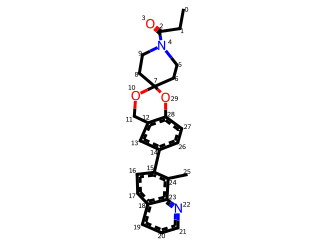 CCC(=O)N1CCC2(CC1)OCc1cc(-c3ccc4cccnc4c3C)ccc1O2